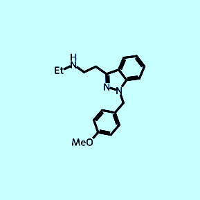 CCNCCc1nn(Cc2ccc(OC)cc2)c2ccccc12